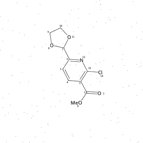 COC(=O)c1ccc(C2OCCO2)nc1Cl